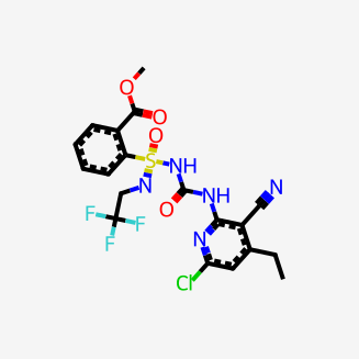 CCc1cc(Cl)nc(NC(=O)NS(=O)(=NCC(F)(F)F)c2ccccc2C(=O)OC)c1C#N